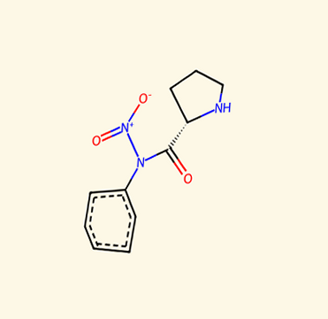 O=C([C@@H]1CCCN1)N(c1ccccc1)[N+](=O)[O-]